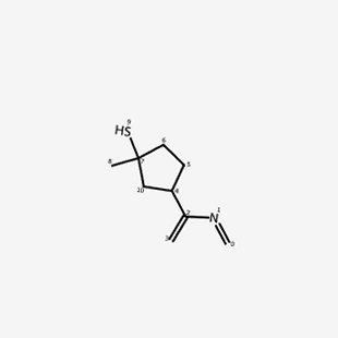 C=NC(=C)C1CCC(C)(S)C1